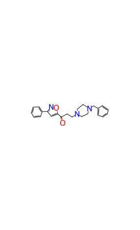 O=C(CCN1CCN(Cc2ccccc2)CC1)c1cc(-c2ccccc2)no1